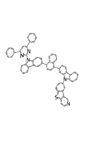 c1ccc(-c2cc(-c3ccccc3)nc(-n3c4ccccc4c4cc(-c5ccc(-c6ccc7c8ccccc8n(-c8ccc9sc%10ccncc%10c9c8)c7c6)c6ccccc56)ccc43)n2)cc1